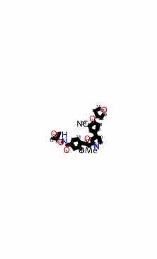 COc1cc(C(=O)NOC2COC2)ccc1-c1cc2nccc(-c3ccc(OC4CCOCC4)c(C#N)c3)c2o1